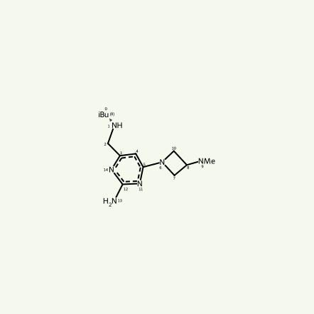 CC[C@@H](C)NCc1cc(N2CC(NC)C2)nc(N)n1